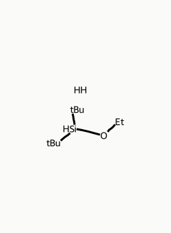 CCO[SiH](C(C)(C)C)C(C)(C)C.[HH]